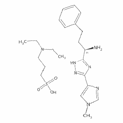 CCN(CC)CCCS(=O)(=O)O.Cn1cnc(-c2n[nH]c([C@H](N)CCc3ccccc3)n2)c1